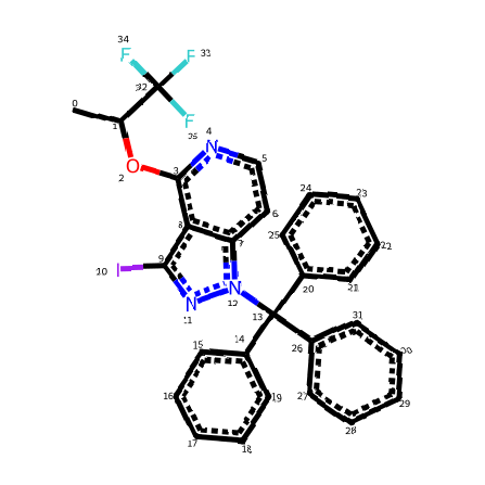 CC(Oc1nccc2c1c(I)nn2C(c1ccccc1)(c1ccccc1)c1ccccc1)C(F)(F)F